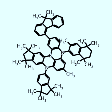 Cc1cc2c3c(c1)N(c1cc4c(cc1C)C(C)(C)CCC4(C)C)c1ccc(-c4cccc5c4-c4ccccc4C5(C)C)cc1B3c1cc3c(cc1N2c1ccc2c(c1)C(C)(C)CC2(C)C)C(C)(C)CC3(C)C